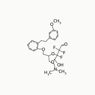 COc1cccc(CCc2ccccc2OCC(CCN(C)C)OC(F)(C(=O)O)C(F)(F)C=O)c1